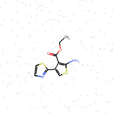 CCOC(=O)c1c(-c2nccs2)csc1N